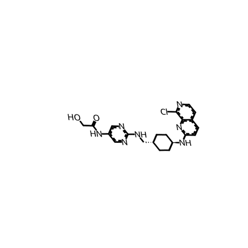 O=C(CO)Nc1cnc(NC[C@H]2CC[C@H](Nc3ccc4ccnc(Cl)c4n3)CC2)nc1